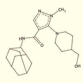 Cn1ncc(C(=O)NC2C3CC4CC(C3)CC2C4)c1N1CCC(CO)CC1